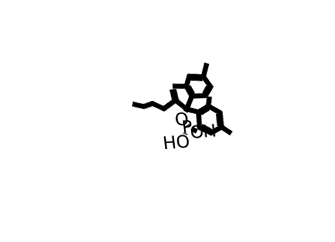 C=C(CCCC)C(OP(O)O)(c1ccc(C)cc1C)c1ccc(C)cc1C